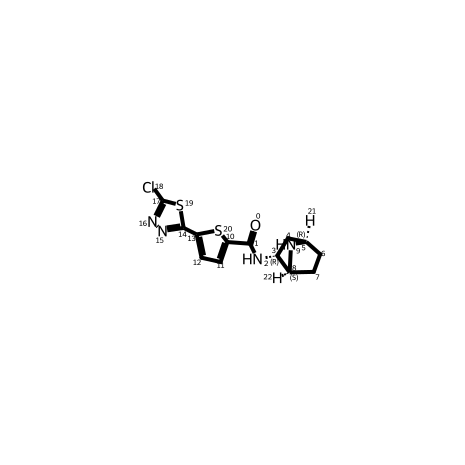 O=C(N[C@@H]1C[C@H]2CC[C@@H]1N2)c1ccc(-c2nnc(Cl)s2)s1